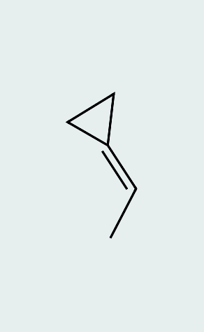 CC=C1CC1